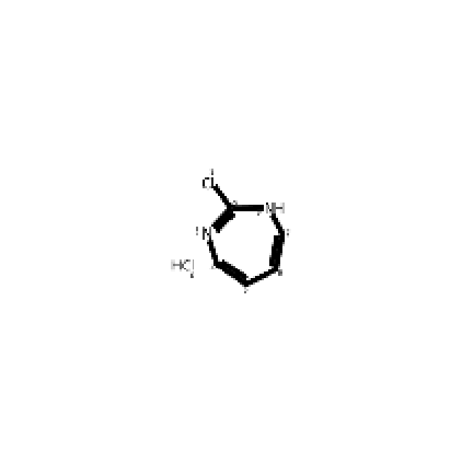 Cl.ClC1=NC=CC=CN1